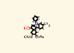 COc1cc2c(O)cc3c(c2cc1OC)c1ccc(C(F)(F)F)cc1n3-c1ccccc1